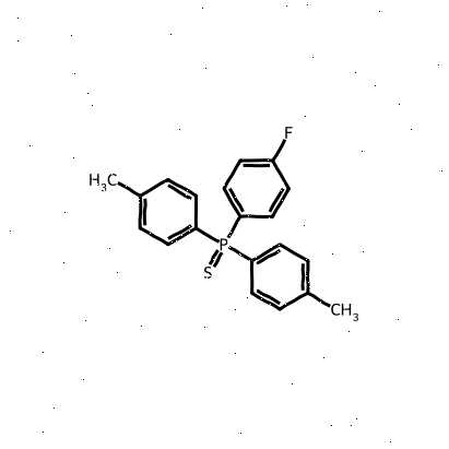 Cc1ccc(P(=S)(c2ccc(C)cc2)c2ccc(F)cc2)cc1